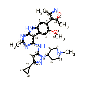 COc1cc2c(cc1-c1c(C)noc1C)[nH]c1nc(C)nc(Nc3cc(C4CC4)nn3C3CCN(C)CC3)c12